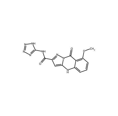 COc1cccc2[nH]c3cc(C(=O)Nc4nnn[nH]4)nn3c(=O)c12